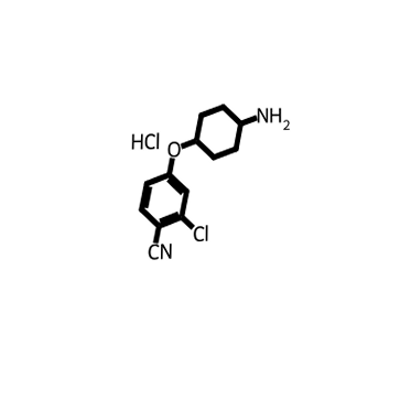 Cl.N#Cc1ccc(OC2CCC(N)CC2)cc1Cl